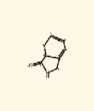 O=C1NCC2=CC=CCC12